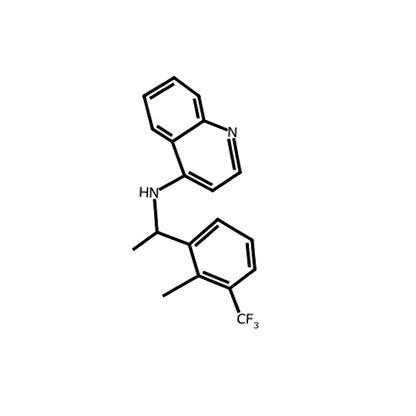 Cc1c(C(C)Nc2ccnc3ccccc23)cccc1C(F)(F)F